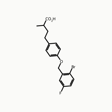 CC(CCc1ccc(OCc2cc(F)ccc2Br)cc1)C(=O)O